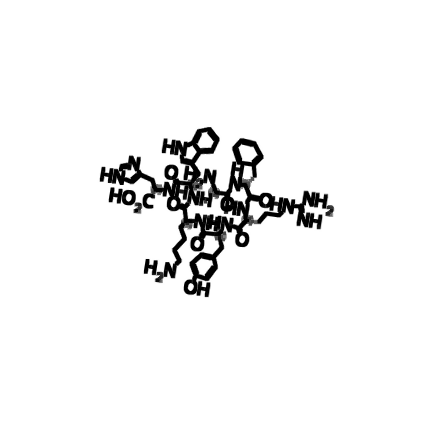 C[C@H](N)C(=O)N[C@H](Cc1ccccc1)C(=O)N[C@H](CCCNC(=N)N)C(=O)N[C@@H](Cc1ccc(O)cc1)C(=O)N[C@@H](CCCCN)C(=O)N[C@H](Cc1c[nH]c2ccccc12)C(=O)N[C@@H](Cc1c[nH]cn1)C(=O)O